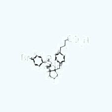 O=C(O)CCCc1ccc(CC2(NS(=O)(=O)c3ccc(Br)cc3)CCCC2)cc1